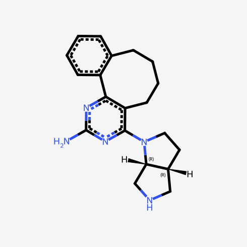 Nc1nc2c(c(N3CC[C@@H]4CNC[C@@H]43)n1)CCCCc1ccccc1-2